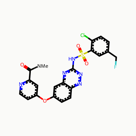 CNC(=O)c1cc(Oc2ccc3nnc(NS(=O)(=O)c4cc(CF)ccc4Cl)nc3c2)ccn1